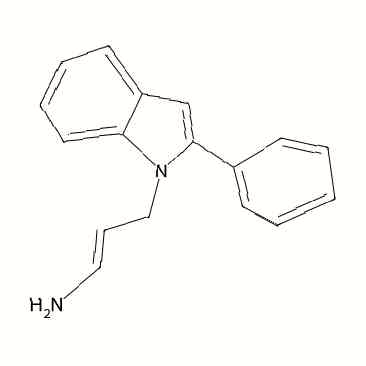 NC=CCn1c(-c2ccccc2)cc2ccccc21